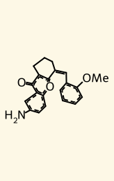 COc1ccccc1/C=C1/CCCc2c1oc1ccc(N)cc1c2=O